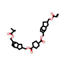 C=CC(=O)OCC1CC2C3CC(COC(=O)C4CCC(C(=O)OCC5CC6C7CC(COC(=O)C(=C)C)C(C7)C6C5)CC4)C(C3)C2C1